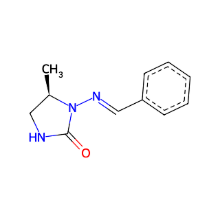 C[C@@H]1CNC(=O)N1/N=C/c1ccccc1